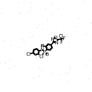 CP(=O)(Nc1ccc(Cl)cc1Cl)c1ccc(-c2noc(C(F)(F)Cl)n2)cc1F